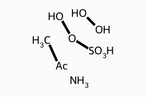 CC(C)=O.N.O=S(=O)(O)OO.OO